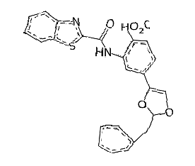 O=C(Nc1cc(C2=COC(Cc3ccccc3)O2)ccc1C(=O)O)c1nc2ccccc2s1